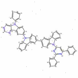 c1ccc(-c2cc(-n3c4ccccc4c4cc(-c5ccc6c(c5)c5ccccc5n6-c5ccc6c(c5)c5ncncc5n6-c5ccccc5)ccc43)nc(-c3ccccc3)n2)cc1